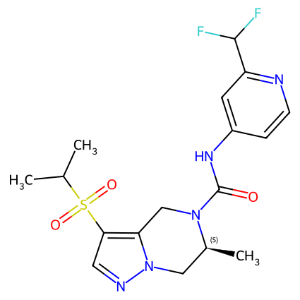 CC(C)S(=O)(=O)c1cnn2c1CN(C(=O)Nc1ccnc(C(F)F)c1)[C@@H](C)C2